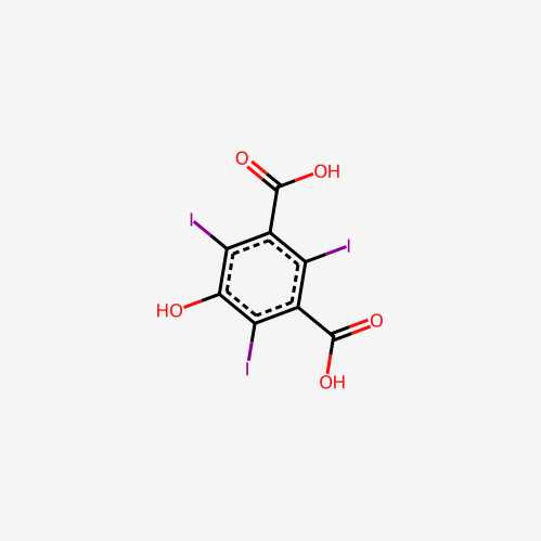 O=C(O)c1c(I)c(O)c(I)c(C(=O)O)c1I